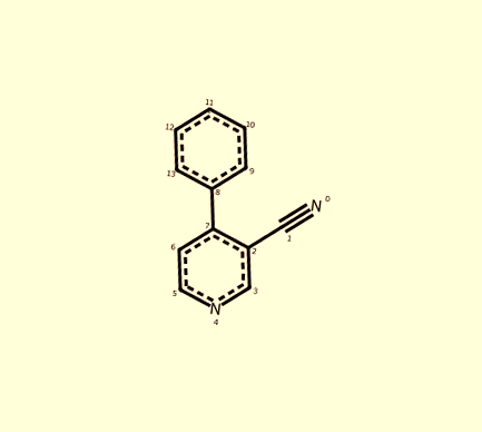 N#Cc1cnccc1-c1cc[c]cc1